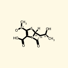 C[C@H](O)[C@@H]1C(=O)N2C(C(=O)O)=C([S+](C)[O-])S[C@H]12